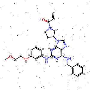 C=CC(=O)N1CC[C@H](n2cnc3c(NCc4ccccc4)nc(Nc4cccc(OCCOC)c4)nc32)C1